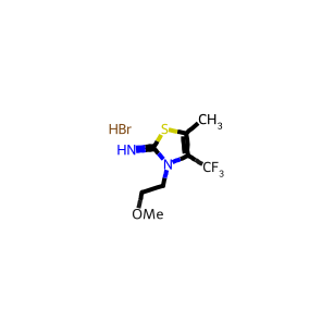 Br.COCCn1c(C(F)(F)F)c(C)sc1=N